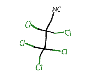 [C-]#[N+]C(Cl)(Cl)C(Cl)(Cl)Cl